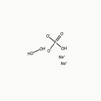 O=P([O-])([O-])O.OO.[Na+].[Na+]